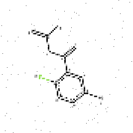 C=C(C)CC(=C)c1cc(CC)ccc1F